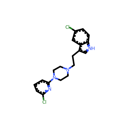 Clc1ccc2[nH]cc(CCN3CCN(c4cccc(Cl)n4)CC3)c2c1